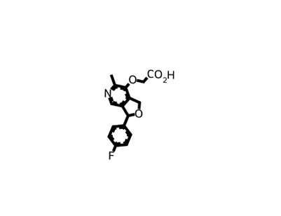 Cc1ncc2c(c1OCC(=O)O)COC2c1ccc(F)cc1